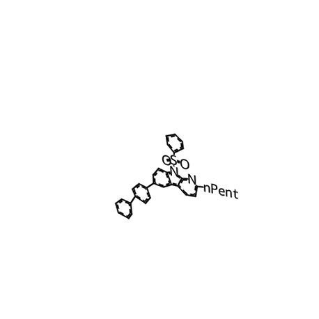 CCCCCc1ccc2c3cc(-c4ccc(-c5ccccc5)cc4)ccc3n(S(=O)(=O)c3ccccc3)c2n1